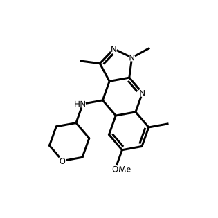 COC1=CC2C(N=C3C(C(C)=NN3C)C2NC2CCOCC2)C(C)=C1